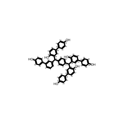 Oc1ccc(-c2cccc(C(c3ccc(C(c4cc(-c5ccc(O)cc5)ccc4O)c4cc(-c5ccc(O)cc5)ccc4O)cc3)c3cc(-c4ccc(O)cc4)ccc3O)c2)cc1